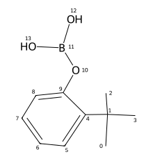 CC(C)(C)c1ccccc1OB(O)O